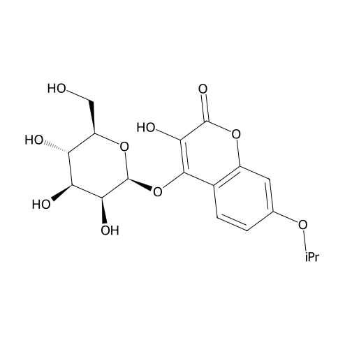 CC(C)Oc1ccc2c(O[C@@H]3O[C@H](CO)[C@@H](O)[C@H](O)[C@@H]3O)c(O)c(=O)oc2c1